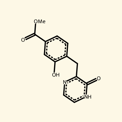 COC(=O)c1ccc(Cc2ncc[nH]c2=O)c(O)c1